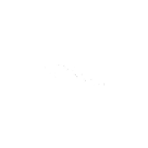 O=C(NCCCCO)C1=Cc2ccccc2OC1